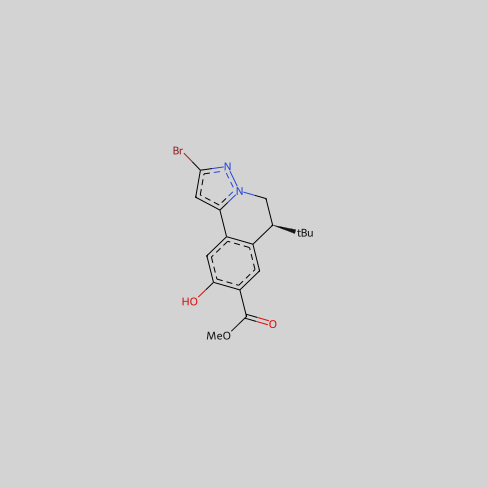 COC(=O)c1cc2c(cc1O)-c1cc(Br)nn1C[C@H]2C(C)(C)C